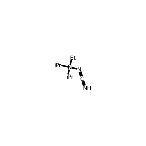 CC[N+](N=C=N)(C(C)C)C(C)C